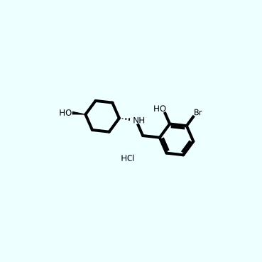 Cl.Oc1c(Br)cccc1CN[C@H]1CC[C@H](O)CC1